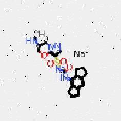 CN[C@@H]1COc2c(S(=O)(=O)[N-]C(=O)Nc3c4c(cc5c3CCC5)CCC4)cnn2C1.[Na+]